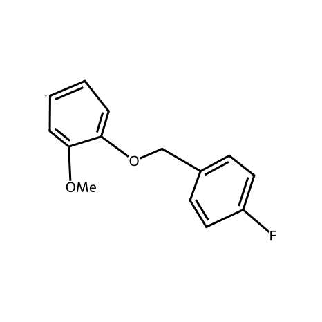 COc1c[c]ccc1OCc1ccc(F)cc1